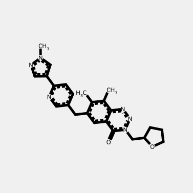 Cc1c(Cc2ccc(-c3cnn(C)c3)nc2)cc2c(=O)n(CC3CCCO3)nnc2c1C